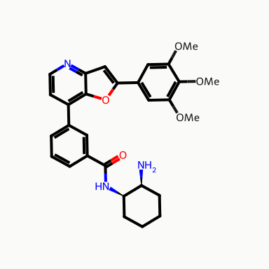 COc1cc(-c2cc3nccc(-c4cccc(C(=O)N[C@@H]5CCCC[C@@H]5N)c4)c3o2)cc(OC)c1OC